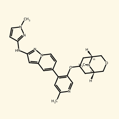 Cc1cc(-c2ccn3nc(Nc4ccn(C)n4)cc3c2)c(OC2C[C@H]3COC[C@@H](C2)N3C)cn1